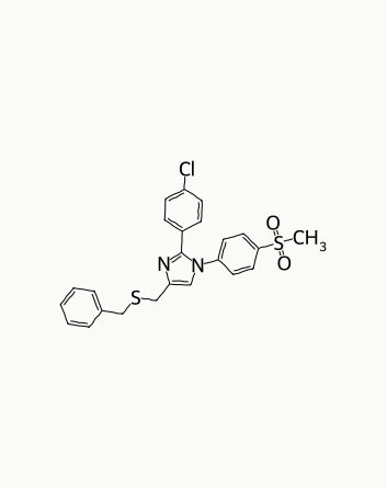 CS(=O)(=O)c1ccc(-n2cc(CSCc3ccccc3)nc2-c2ccc(Cl)cc2)cc1